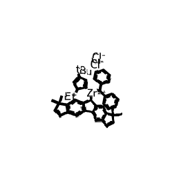 CCC1C=C(C(C)(C)C)C=[C]1[Zr+2](=[C](c1ccccc1)c1ccccc1)[CH]1c2cc3c(cc2-c2cc4c(cc21)C(C)(C)C=C4)C=CC3(C)C.[Cl-].[Cl-]